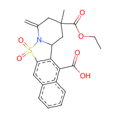 C=C1CC(C)(C(=O)OCC)CC2c3c(cc4ccccc4c3C(=O)O)S(=O)(=O)N12